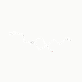 CCC[SiH]1C[Si](Br)(CCC)C1